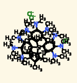 CC1=C(C)[C]([Ti+3])([Si](c2c(C)c(N(C)C)c(N(C)C)c(N(C)C)c2C)(c2c(C)c(N(C)C)c(N(C)C)c(N(C)C)c2C)c2c(C)c(N(C)C)c(N(C)C)c(N(C)C)c2C)C(C)=C1C.[Cl-].[Cl-].[Cl-]